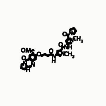 COc1cc2c(cc1OCCCC(=O)Nc1cc(C(=O)Nc3cc(C(=O)N4CCCC4)n(C)c3)n(C)c1)N=C[C@@H]1CCCN1C2=O